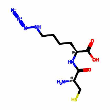 [N-]=[N+]=NNCCCC[C@H](NC(=O)[C@@H](N)CS)C(=O)O